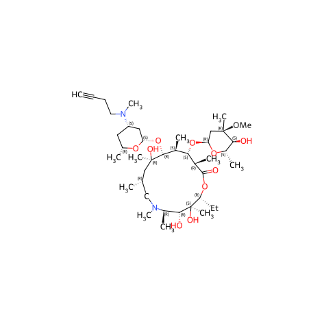 C#CCCN(C)[C@@H]1C[C@H](O[C@@H]2[C@@H](C)[C@H](O[C@H]3C[C@@](C)(OC)[C@@H](O)[C@H](C)O3)[C@@H](C)C(=O)O[C@H](CC)[C@@](C)(O)[C@H](O)[C@@H](C)N(C)C[C@H](C)C[C@@]2(C)O)O[C@H](C)C1